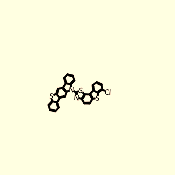 Clc1cccc2c1sc1ccc3nc(-n4c5ccccc5c5cc6sc7ccccc7c6cc54)sc3c12